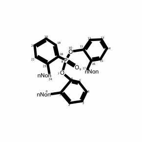 CCCCCCCCCc1ccccc1OP(=O)(Oc1ccccc1CCCCCCCCC)c1ccccc1CCCCCCCCC